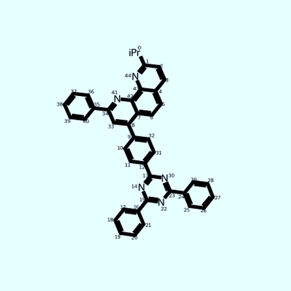 CC(C)c1ccc2ccc3c(-c4ccc(-c5nc(-c6ccccc6)nc(-c6ccccc6)n5)cc4)cc(-c4ccccc4)nc3c2n1